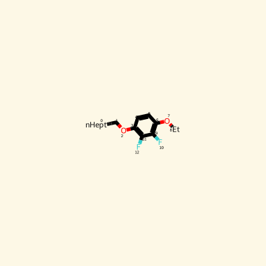 CCCCCCCCOc1ccc(OCC)c(F)c1F